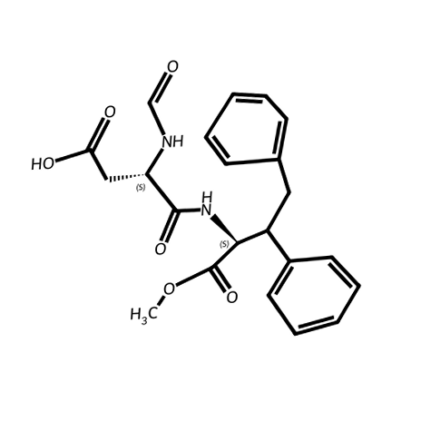 COC(=O)[C@@H](NC(=O)[C@H](CC(=O)O)NC=O)C(Cc1ccccc1)c1ccccc1